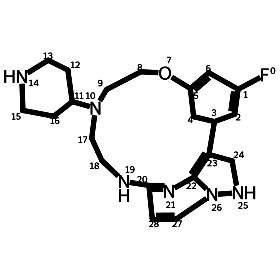 FC1=CC2CC(=C1)OCCN(C1CCNCC1)CCNC1=NC3=C2CNN3C=C1